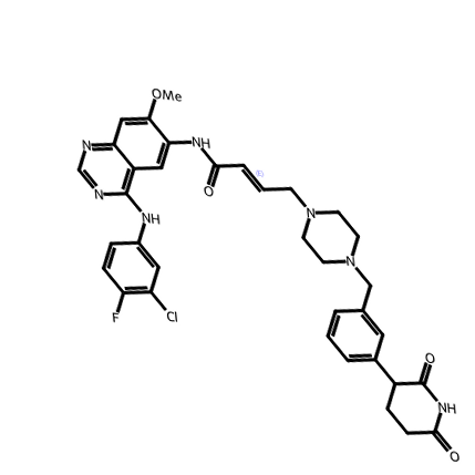 COc1cc2ncnc(Nc3ccc(F)c(Cl)c3)c2cc1NC(=O)/C=C/CN1CCN(Cc2cccc(C3CCC(=O)NC3=O)c2)CC1